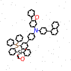 c1ccc(S2(c3ccccc3)c3ccccc3[Si]3(c4ccccc4Oc4ccccc43)c3ccc(-c4ccc(N(c5ccc(-c6cccc7ccccc67)cc5)c5ccc6c(c5)oc5ccccc56)cc4)cc32)cc1